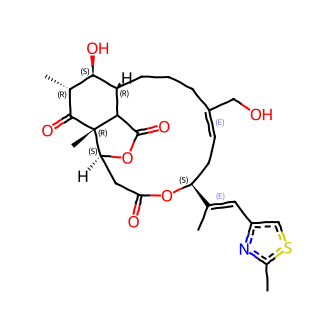 C/C(=C\c1csc(C)n1)[C@@H]1C/C=C(/CO)CCC[C@@H]2C3C(=O)O[C@@H](CC(=O)O1)[C@]3(C)C(=O)[C@H](C)[C@H]2O